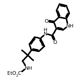 CCOC(=O)NCC(C)(C)c1ccc(NC(=O)c2c[nH]c3ccccc3c2=O)cc1